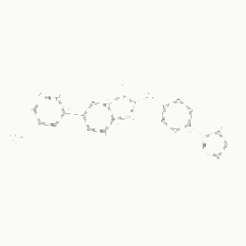 COc1cncc(-c2ccc3nc(Nc4ccc(-c5ccco5)cc4)sc3c2)c1